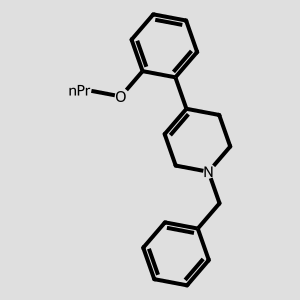 CCCOc1ccccc1C1=CCN(Cc2ccccc2)CC1